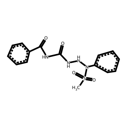 CS(=O)(=O)N(NNC(=O)NC(=O)c1ccccc1)c1ccccc1